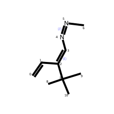 C=C/C(=C\N=N/C)C(C)(C)C